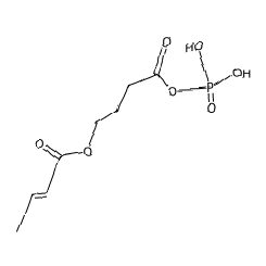 CC=CC(=O)OCCCC(=O)OP(=O)(O)O